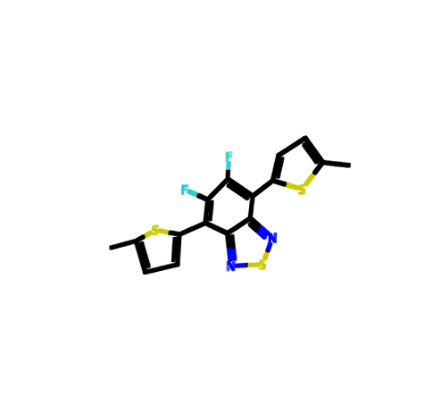 Cc1ccc(-c2c(F)c(F)c(-c3ccc(C)s3)c3nsnc23)s1